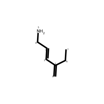 C=C(C=CCN)CC